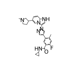 Cc1cc(F)c(C(=O)NC2CC2)cc1-c1cnn(C2=CNC3C=CC(C4CCN(C)C4)=CN23)c1